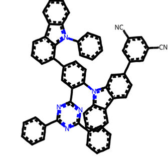 N#Cc1cc(C#N)cc(-c2ccc3c4ccccc4n(-c4ccc(-c5cccc6c7ccccc7n(-c7ccccc7)c56)cc4-c4nc(-c5ccccc5)nc(-c5ccccc5)n4)c3c2)c1